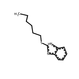 CCCCCCSc1nc2ccccc2[nH]1